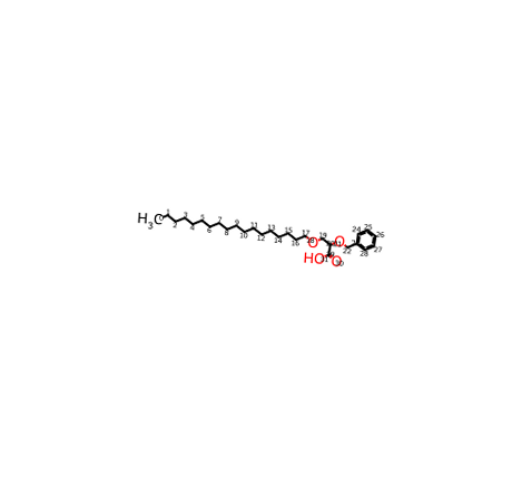 CCCCCCCCCCCCCCCCCCOCC(OCc1ccccc1)C(=O)O